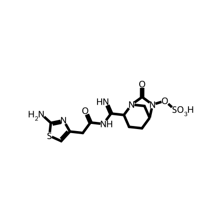 N=C(NC(=O)Cc1csc(N)n1)C1CCC2CN1C(=O)N2OS(=O)(=O)O